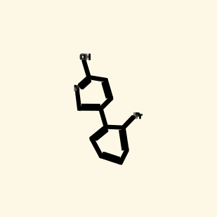 CC(C)c1ccccc1-c1ccc(O)nc1